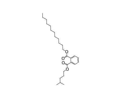 CCCCCCCCCCCCOC(=O)c1ccccc1C(=O)OCCCC(C)C